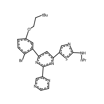 CCCNc1ncc(-c2cc(-c3cc(OCCC(C)(C)C)ccc3Br)nc(-c3cnccn3)n2)s1